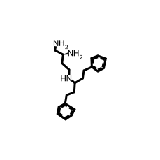 NC[C@@H](N)CCNC(CCc1ccccc1)CCc1ccccc1